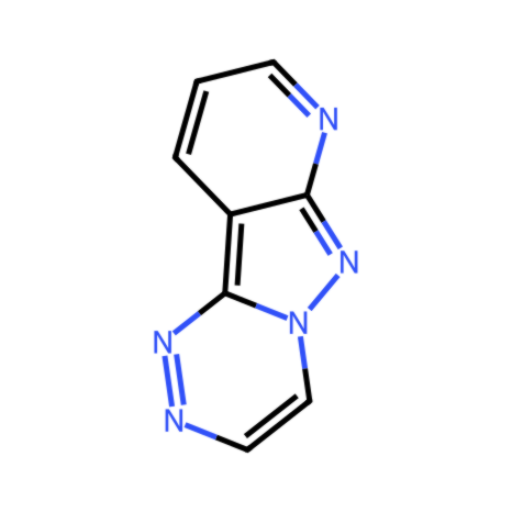 c1cnc2nn3ccnnc3c2c1